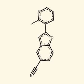 Cc1ncccc1-c1cc2cc(C#N)ccc2o1